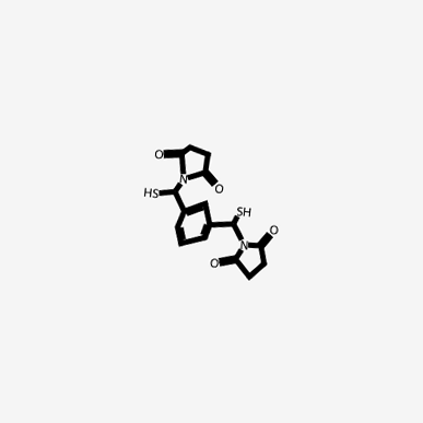 O=C1CCC(=O)N1C(S)c1cccc(C(S)N2C(=O)CCC2=O)c1